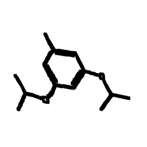 Cc1cc(OC(C)C)cc(OC(C)C)c1